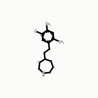 Cc1cc(C)c(CCC2CCCNCC2)cc1Cl